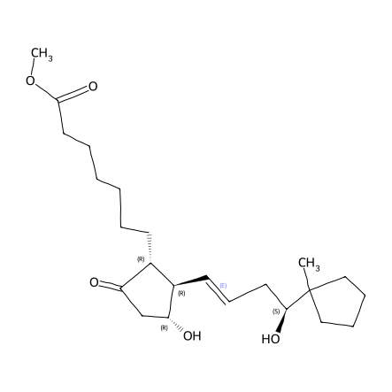 COC(=O)CCCCCC[C@H]1C(=O)C[C@@H](O)[C@@H]1/C=C/C[C@H](O)C1(C)CCCC1